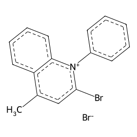 Cc1cc(Br)[n+](-c2ccccc2)c2ccccc12.[Br-]